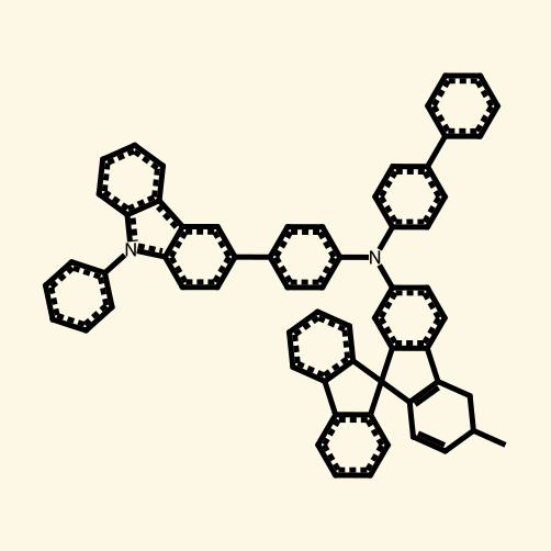 CC1C=CC2=C(C1)c1ccc(N(c3ccc(-c4ccccc4)cc3)c3ccc(-c4ccc5c(c4)c4ccccc4n5-c4ccccc4)cc3)cc1C21c2ccccc2-c2ccccc21